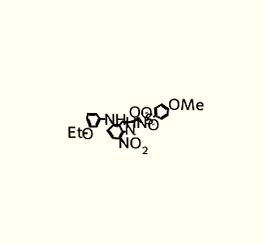 CCOc1cccc(Nc2ccc([N+](=O)[O-])c3c2cc(C(=O)NS(=O)(=O)c2ccc(OC)cc2)n3C)c1